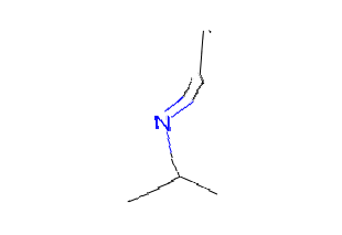 [CH2]C=NC(C)C